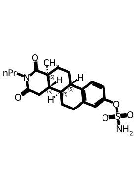 CCCN1C(=O)C[C@H]2[C@@H]3CCc4cc(OS(N)(=O)=O)ccc4[C@H]3CC[C@]2(C)C1=O